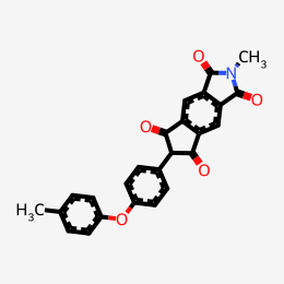 Cc1ccc(Oc2ccc(C3C(=O)c4cc5c(cc4C3=O)C(=O)N(C)C5=O)cc2)cc1